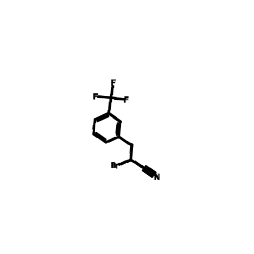 N#CC(Br)Cc1cccc(C(F)(F)F)c1